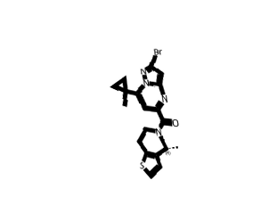 C[C@@H]1c2ccsc2CCN1C(=O)c1cc(C2(C)CC2)n2nc(Br)cc2n1